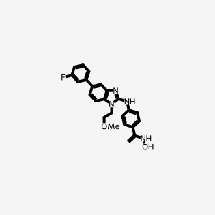 C=C(NO)c1ccc(Nc2nc3cc(-c4cccc(F)c4)ccc3n2CCOC)cc1